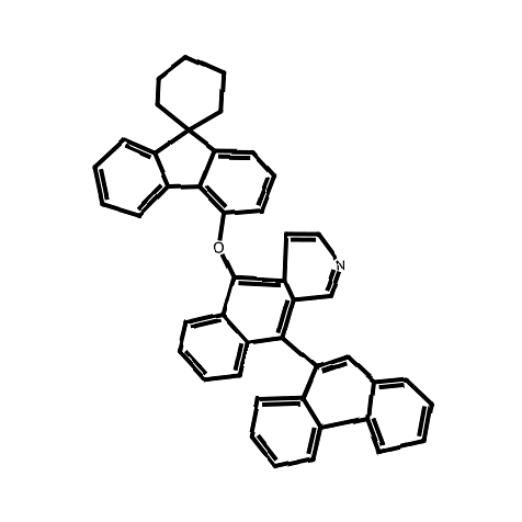 c1ccc2c(c1)-c1c(Oc3c4ccccc4c(-c4cc5ccccc5c5ccccc45)c4cnccc34)cccc1C21CCCCC1